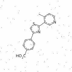 Cc1ccncc1-c1nc(-c2ccc(C(=O)O)cc2)cs1